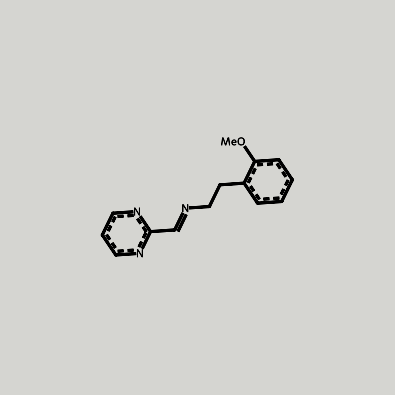 COc1ccccc1CCN=Cc1ncccn1